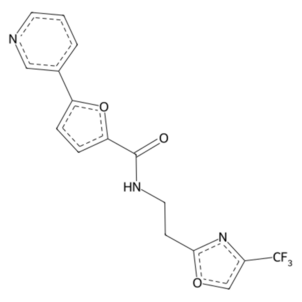 O=C(NCCc1nc(C(F)(F)F)co1)c1ccc(-c2cccnc2)o1